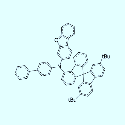 CC(C)(C)c1ccc2c(c1)C1(c3cc(C(C)(C)C)ccc3-2)c2ccccc2-c2c(N(c3ccc(-c4ccccc4)cc3)c3ccc4c(c3)oc3ccccc34)cccc21